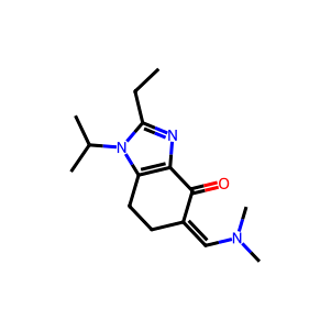 CCc1nc2c(n1C(C)C)CC/C(=C/N(C)C)C2=O